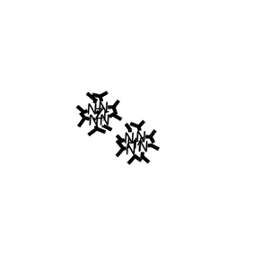 CC[N](CC)[Hf]([N](CC)CC)([N](C(C)C)C(C)C)[N](C(C)C)C(C)C.CC[N](CC)[Zr]([N](CC)CC)([N](C(C)C)C(C)C)[N](C(C)C)C(C)C